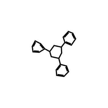 c1ccc(C2CC(c3ccccc3)CC(c3ccccc3)C2)cc1